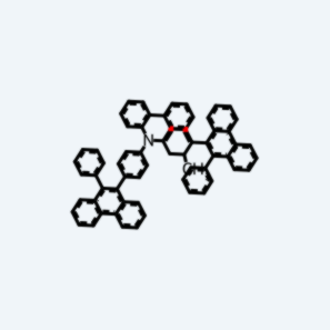 CC1CC(N(c2ccc(-c3c(-c4ccccc4)c4ccccc4c4ccccc34)cc2)c2ccccc2-c2ccccc2)=CC=C1c1c(-c2ccccc2)c2ccccc2c2ccccc12